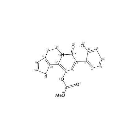 COC(=O)Oc1cc(-c2ccccc2Cl)c(=O)n2c1-c1sccc1CC2